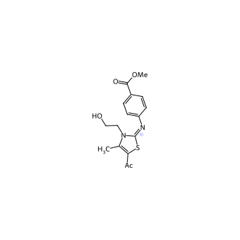 COC(=O)c1ccc(/N=c2/sc(C(C)=O)c(C)n2CCO)cc1